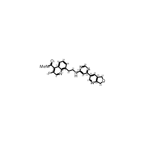 CNC(=O)c1c(F)cnc2c(CCNc3cc(-c4cnc5c(c4)COC5)ncn3)cccc12